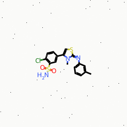 Cc1cccc(/N=c2/scc(-c3ccc(Cl)c(S(N)(=O)=O)c3)n2C)c1